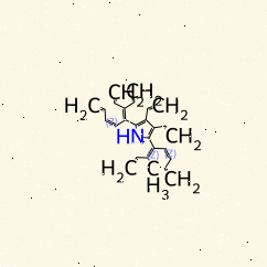 C=C/C=C\C(=C(C=C)C=C)c1[nH]c(C(/C=C\C=C)=C(/C)C=C)c(C=C)c1C=C